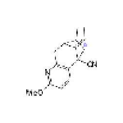 C/C=C1\C2Cc3nc(OC)ccc3C1(C#N)CC2C